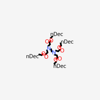 CCCCCCCCCCCCOC(=O)CCN(CCC(=O)OCCCCCCCCCCCC)CCN(CCC(=O)OCCCCCCCCCCCC)CCC(=O)OCCCCCCCCCCCC